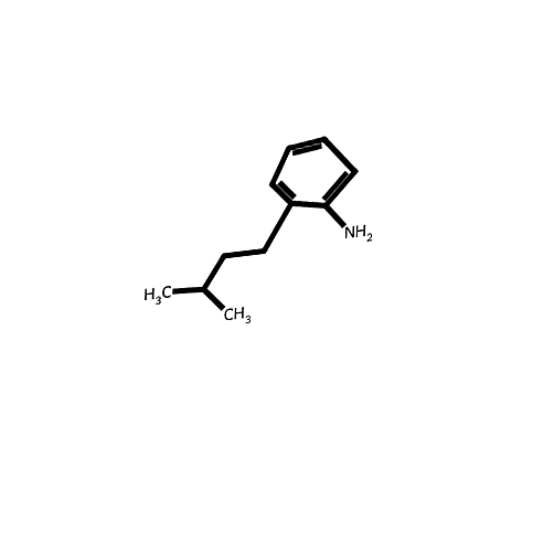 CC(C)CCc1ccccc1N